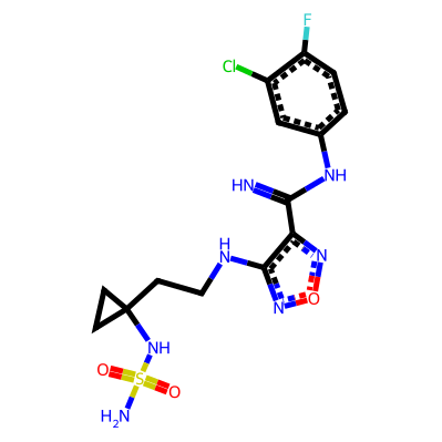 N=C(Nc1ccc(F)c(Cl)c1)c1nonc1NCCC1(NS(N)(=O)=O)CC1